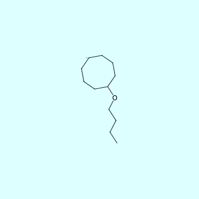 CCCCOC1CCC[CH]CCC1